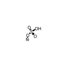 [N]OS(=O)(=O)O